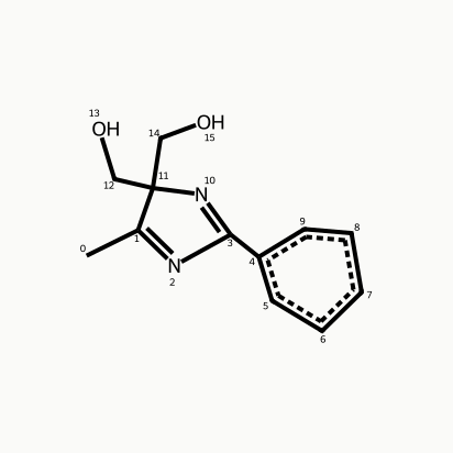 CC1=NC(c2ccccc2)=NC1(CO)CO